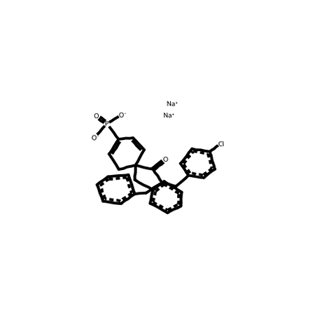 O=C(C(Cc1ccccc1)Cc1ccc(Cl)cc1)C1(Cc2ccccc2)C=CC(P(=O)([O-])[O-])=CC1.[Na+].[Na+]